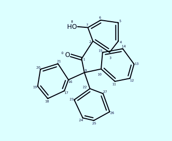 O=C(c1ccccc1O)C(c1ccccc1)(c1ccccc1)c1ccccc1